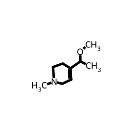 COC(C)C1=CCN(C)CC1